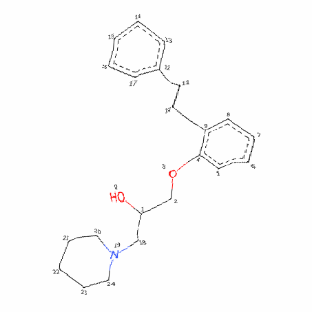 OC(COc1ccccc1CCc1ccccc1)CN1CCCCC1